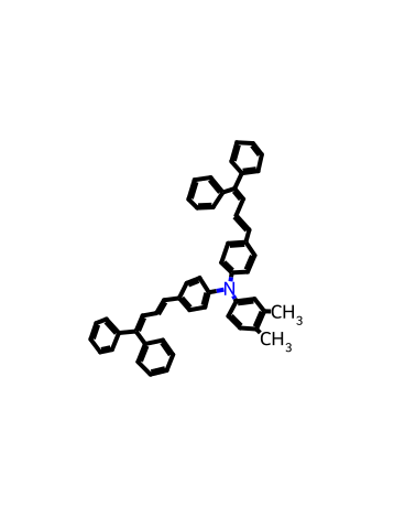 Cc1ccc(N(c2ccc(/C=C/C=C(c3ccccc3)c3ccccc3)cc2)c2ccc(/C=C/C=C(c3ccccc3)c3ccccc3)cc2)cc1C